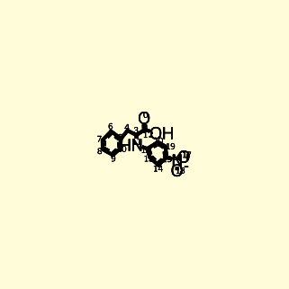 O=C(O)C(Cc1ccccc1)Nc1ccc([N+](=O)[O-])cc1